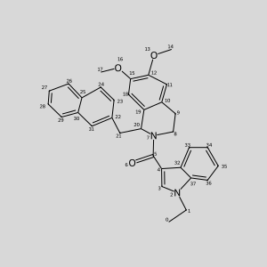 CCn1cc(C(=O)N2CCc3cc(OC)c(OC)cc3C2Cc2ccc3ccccc3c2)c2ccccc21